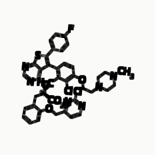 Cc1c(-c2c(-c3ccc(F)cc3)sc3ncnc(O[C@H](Cc4ccccc4OCc4ccnc(Cl)n4)C(=O)O)c23)ccc(OCCN2CCN(C)CC2)c1Cl